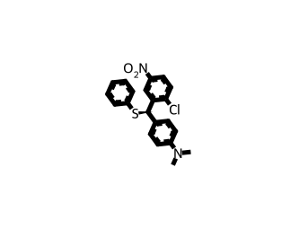 CN(C)c1ccc([C@@H](Sc2ccccc2)c2cc([N+](=O)[O-])ccc2Cl)cc1